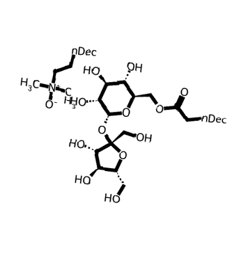 CCCCCCCCCCCC(=O)OC[C@H]1O[C@H](O[C@]2(CO)O[C@H](CO)[C@@H](O)[C@@H]2O)[C@H](O)[C@@H](O)[C@@H]1O.CCCCCCCCCCCC[N+](C)(C)[O-]